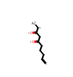 C=CCCCC(=O)CC(=O)CC(C)=O